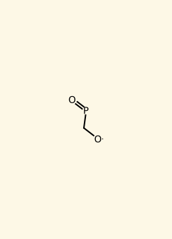 [O]CP=O